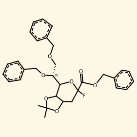 CC1(C)OC2CC(F)(C(=O)OCc3ccccc3)OC([C@@H](COCc3ccccc3)OCc3ccccc3)C2O1